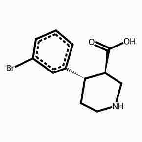 O=C(O)[C@H]1CNCC[C@@H]1c1cccc(Br)c1